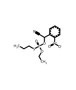 CCCSP(=O)(OCC)OC(C#N)c1ccccc1[N+](=O)[O-]